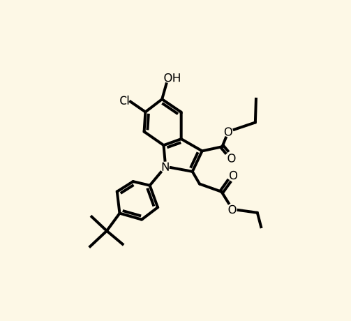 CCOC(=O)Cc1c(C(=O)OCC)c2cc(O)c(Cl)cc2n1-c1ccc(C(C)(C)C)cc1